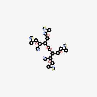 c1cncc(-c2cc(-c3cc(-c4ccc5oc6c(-c7ccccc7-c7nccs7)cccc6c5c4)cc(-c4cc5oc(-c6cc(-c7ccc8oc9c(-c%10ccccc%10-c%10nccs%10)cncc9c8c7)cc(-c7cc(-c8cccnc8)c8oc9c(-c%10ccccc%10-c%10nccs%10)cccc9c8c7)c6)cc5o4)c3)cc3c2oc2c(-c4ccccc4-c4nccs4)cccc23)c1